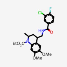 CCOC(=O)N1c2cc(OC)c(OC)cc2C(CNC(=O)c2ccc(F)c(Cl)c2)CC1C